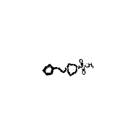 CS(=O)(=O)N1CCN(CCc2ccccc2)CC1